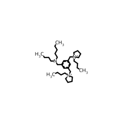 CCCCCN(CCCC)Cc1cc(C[N+]2(CCCC)CCCC2)cc(C[N+]2(CCCC)CCCC2)c1